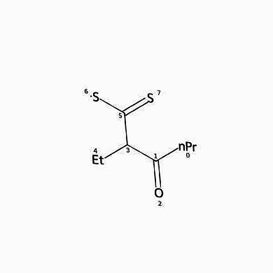 CCCC(=O)C(CC)C([S])=S